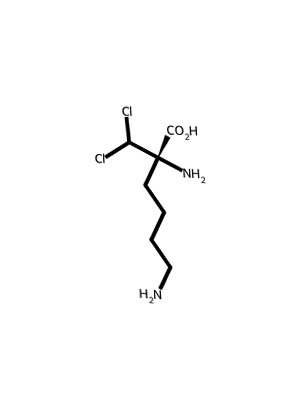 NCCCC[C@](N)(C(=O)O)C(Cl)Cl